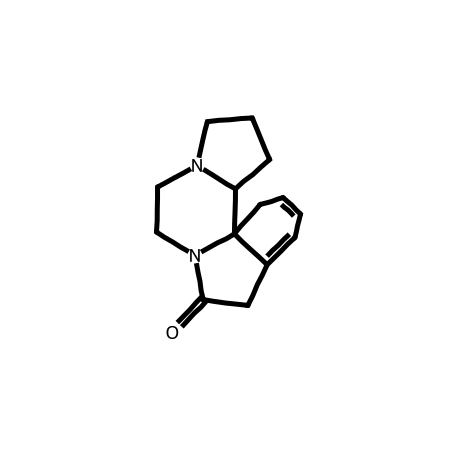 O=C1CC2=CC=CCC23C2CCCN2CCN13